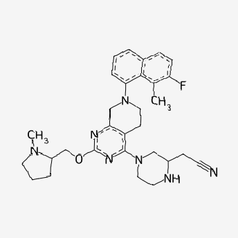 Cc1c(F)ccc2cccc(N3CCc4c(nc(OCC5CCCN5C)nc4N4CCNC(CC#N)C4)C3)c12